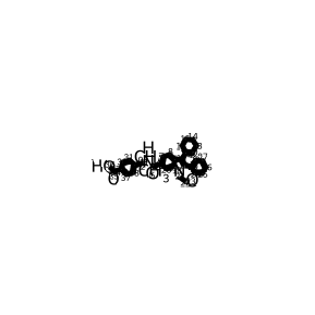 CC(C)(NC(=O)c1ccc2c(C3CCCCC3)c3n(c2c1)CCOc1ccccc1-3)c1ccc(C(=O)O)cc1